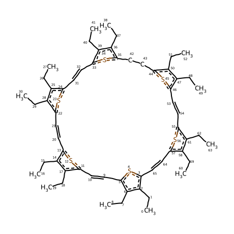 CCc1c2sc(c1CC)/C=C/c1sc(c(CC)c1CC)/C=C\c1sc(c(CC)c1CC)/C=C/c1sc(c(CC)c1CC)CCc1sc(c(CC)c1CC)/C=C/c1sc(c(CC)c1CC)/C=C\2